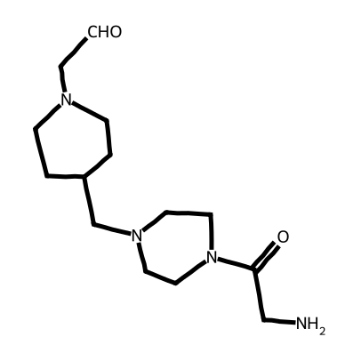 NCC(=O)N1CCN(CC2CCN(CC=O)CC2)CC1